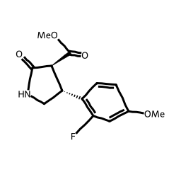 COC(=O)[C@@H]1C(=O)NC[C@H]1c1ccc(OC)cc1F